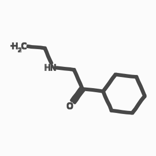 [CH2]CNCC(=O)C1CCCCC1